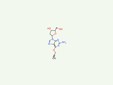 C#CCOc1nc(N)nc2c1ncn2[C@H]1C[C@H](O)[C@@H](CO)O1